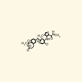 CNC(=O)c1scc(C)c1Nc1nc(Nc2ccc3c(c2)CCC(=O)NC3(C)C)ncc1Cl